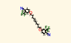 N#Cc1ccc(OCCCCCCCCCCOc2ccc(C#N)c(C(F)(F)F)c2)cc1C(F)(F)F